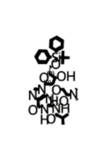 CC(C)C(=O)Nc1nc2c(ncn2[C@@H]2O[C@H](CO[Si](c3ccccc3)(c3ccccc3)C(C)(C)C)C(O)C2OCC(O)N(C)C)c(=O)[nH]1